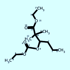 CCCC(OC(=O)OCC)C(C)(C)C(=O)OCC